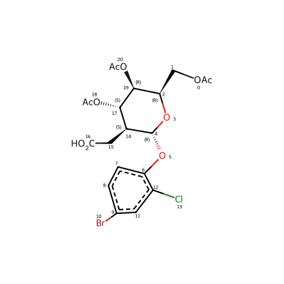 CC(=O)OC[C@H]1O[C@H](Oc2ccc(Br)cc2Cl)[C@@H](CC(=O)O)[C@H](OC(C)=O)[C@H]1OC(C)=O